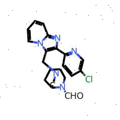 O=CN1CC2CCC1CN2Cc1c(-c2ccc(Cl)cn2)nc2ccccn12